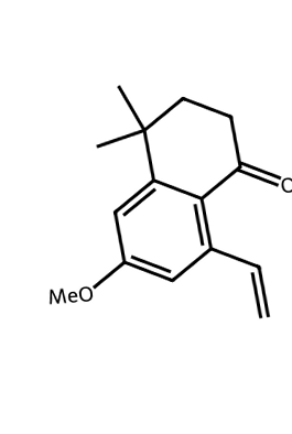 C=Cc1cc(OC)cc2c1C(=O)CCC2(C)C